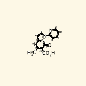 Cc1nc2ccn(-c3ccccn3)n2c(=O)c1C(=O)O